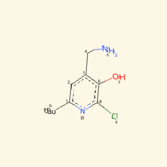 CC(C)(C)c1cc(CN)c(O)c(Cl)n1